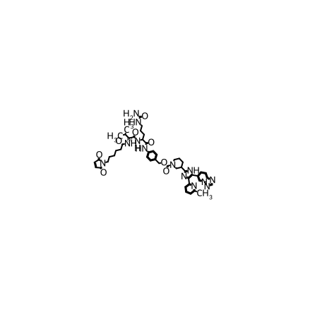 Cc1cccc(-c2nc(C3CCCN(C(=O)OCc4ccc(NC(=O)C(CCCNC(N)=O)NC(=O)[C@@H](NC(=O)CCCCCN5C(=O)C=CC5=O)C(C)C)cc4)C3)[nH]c2-c2ccc3ncnn3c2)n1